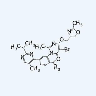 Cc1nc(COc2nc(C)n(-c3cc(-c4nc(C(C)C)ncc4C)ccc3C)c(=O)c2Br)co1